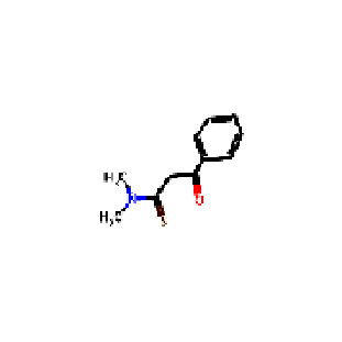 CN(C)C(=S)CC(=O)c1ccccc1